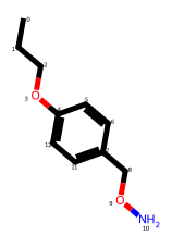 CCCOc1ccc(CON)cc1